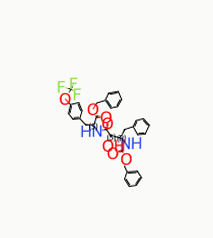 O=C(N[C@H](Cc1ccccc1)[C@H](O)C(=O)N[C@@H](Cc1ccc(OC(F)(F)F)cc1)C(=O)OCc1ccccc1)OCc1ccccc1